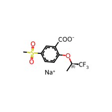 C[C@@H](Oc1ccc(S(C)(=O)=O)cc1C(=O)[O-])C(F)(F)F.[Na+]